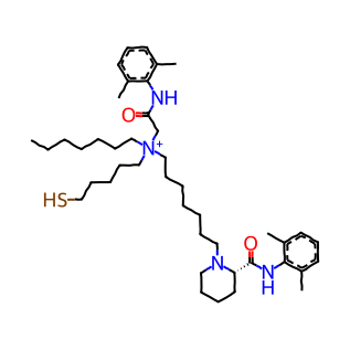 CCCCCCC[N+](CCCCCS)(CCCCCCCN1CCCC[C@H]1C(=O)Nc1c(C)cccc1C)CC(=O)Nc1c(C)cccc1C